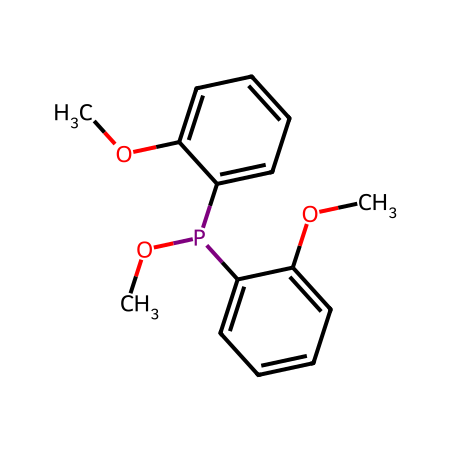 COc1ccccc1P(OC)c1ccccc1OC